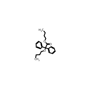 CCCCOC(=O)C(OCCCC)(c1ccccc1)c1ccccc1